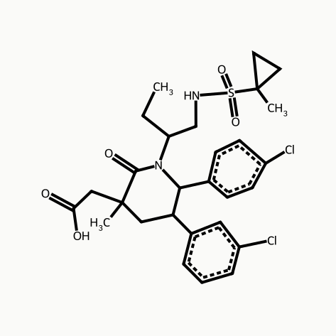 CCC(CNS(=O)(=O)C1(C)CC1)N1C(=O)C(C)(CC(=O)O)CC(c2cccc(Cl)c2)C1c1ccc(Cl)cc1